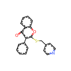 O=c1c(-c2ccccc2)c(SCc2ccncc2)oc2ccccc12